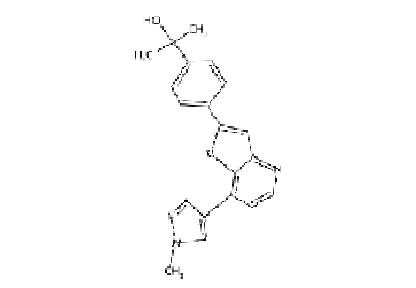 Cn1cc(-c2ccnc3cc(-c4ccc(C(C)(C)O)cc4)oc23)cn1